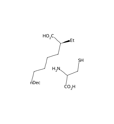 CCCCCCCCCCCCCC[C@H](CC)C(=O)O.NC(CS)C(=O)O